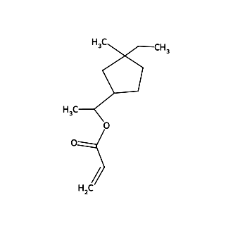 C=CC(=O)OC(C)C1CCC(C)(CC)C1